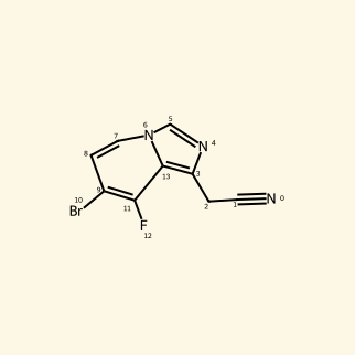 N#CCc1ncn2ccc(Br)c(F)c12